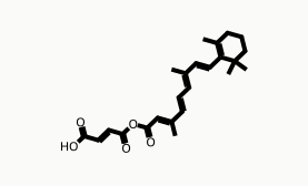 CC(C=CC1=C(C)CCCC1(C)C)=CC=CC(C)=CC(=O)OC(=O)C=CC(=O)O